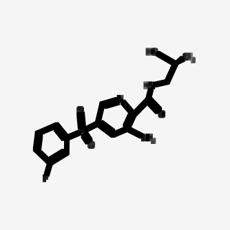 Nc1cc(S(=O)(=O)c2cccc(F)c2)cnc1C(=O)NC[C@@H](O)C(F)(F)F